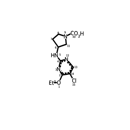 CCOc1nc(NC2CCN(C(=O)O)C2)ncc1Cl